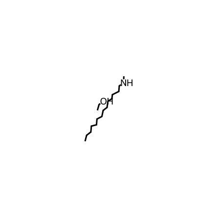 CCCCCCCCCCCCCCNC.CCO